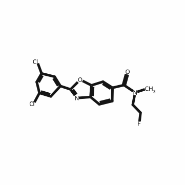 CN(CCF)C(=O)c1ccc2nc(-c3cc(Cl)cc(Cl)c3)oc2c1